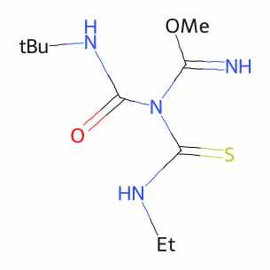 CCNC(=S)N(C(=N)OC)C(=O)NC(C)(C)C